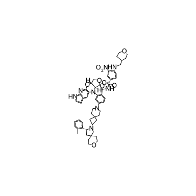 Cc1ccccc1[C@H]1CC2(CCOCC2)CN1C1CC2(CCN(c3ccc(C(=O)NS(=O)(=O)c4ccc(NCC5CCOCC5)c([N+](=O)[O-])c4)c(N4c5cc6cc[nH]c6nc5O[C@@H]5COC[C@H]54)c3)CC2)C1